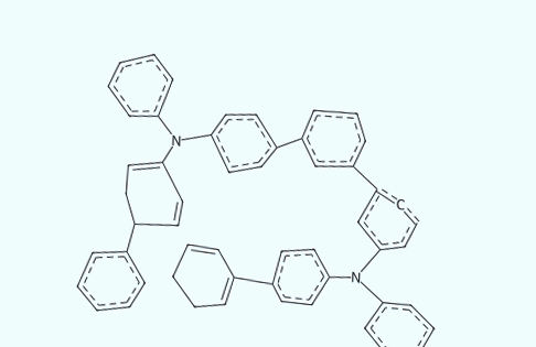 C1=CC(c2ccc(N(c3ccccc3)c3cccc(-c4cccc(-c5ccc(N(C6=CCC(c7ccccc7)C=C6)c6ccccc6)cc5)c4)c3)cc2)=CCC1